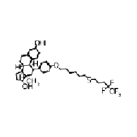 C[C@]12C[C@H](c3ccc(OCCCCCCSCCCC(F)(F)C(F)(F)F)cc3)[C@@H]3c4ccc(O)cc4CC[C@H]3[C@@H]1CC[C@@H]2O